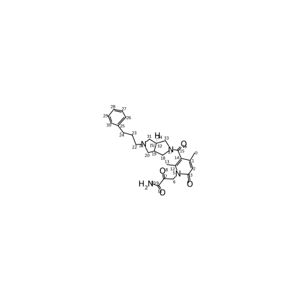 Cc1cc(=O)n(CC(=O)C(N)=O)c(C)c1C(=O)N1CC2CN(CC[CH]c3ccccc3)C[C@H]2C1